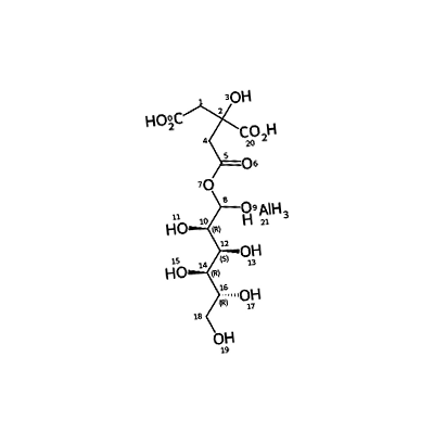 O=C(O)CC(O)(CC(=O)OC(O)[C@H](O)[C@@H](O)[C@H](O)[C@H](O)CO)C(=O)O.[AlH3]